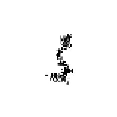 Cc1cccc(C)c1Nc1nn(C)c2nc(Nc3ccc4c(c3)CN(C(=S)C3CCN(C(=O)COc5ccc6c(c5)C(=O)N(C5CCC(=O)NC5=O)C6=O)CC3)CC4)ncc12